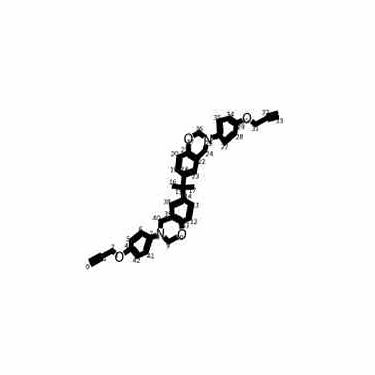 C#CCOc1ccc(N2COc3ccc(C(C)(C)c4ccc5c(c4)CN(c4ccc(OCC#C)cc4)CO5)cc3C2)cc1